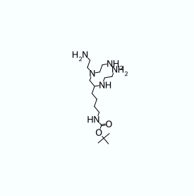 CC(C)(C)OC(=O)NCCCCC(CN(CCN)CCN)NCCN